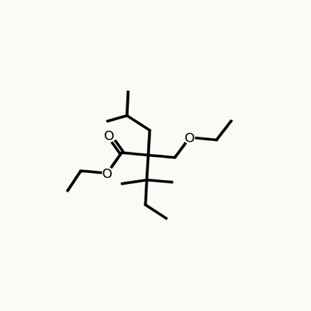 CCOCC(CC(C)C)(C(=O)OCC)C(C)(C)CC